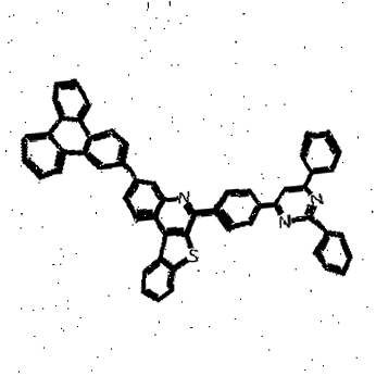 c1ccc(-c2cc(-c3ccc(-c4nc5cc(-c6ccc7c8ccccc8c8ccccc8c7c6)ccc5c5c4sc4ccccc45)cc3)nc(-c3ccccc3)n2)cc1